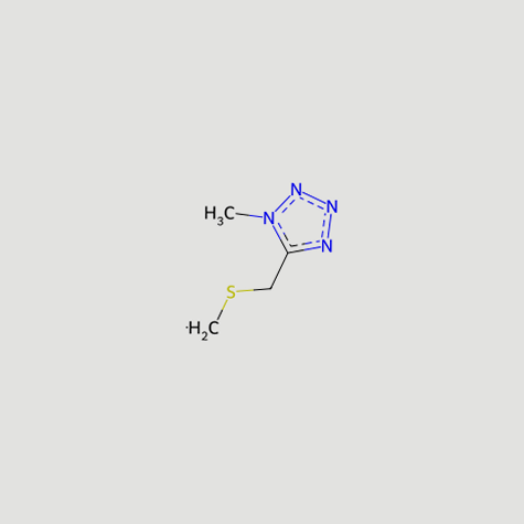 [CH2]SCc1nnnn1C